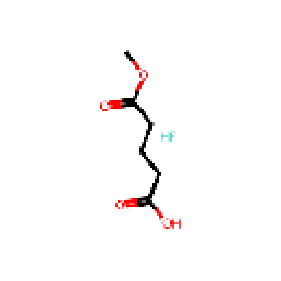 COC(=O)CCCC(=O)O.F